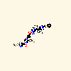 C=Cn1nc(NC(=O)C2CC(N3CCN(C(=O)C4=COC(C)=NC4)CC3C)C2)cc1/C=C(\C)c1cnc(COC2CCCC2)nc1